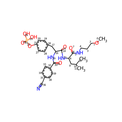 COCCCNC(=O)C(CC(C)C)NC(=O)C(Cc1ccc(OP(=O)(O)O)cc1)NC(=O)c1ccc(C#N)cc1